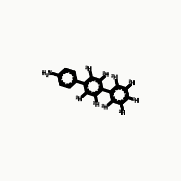 [2H]c1c([2H])c([2H])c(-c2c([2H])c([2H])c(-c3ccc(N)cc3)c([2H])c2[2H])c([2H])c1[2H]